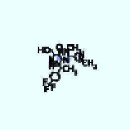 CN/C(=N\C(NC(C)c1ccc(C(F)(F)F)cc1)=C(/C=O)C(=N)CO)c1cnn(C)c1